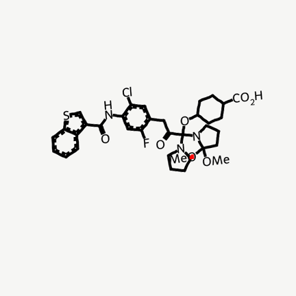 COC1(OC)CCCN1C(OC1CCC(C(=O)O)CC1)(C(=O)Cc1cc(Cl)c(NC(=O)c2csc3ccccc23)cc1F)N1CCCC1